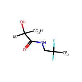 CCC(O)(C(=O)O)C(=O)NCC(F)(F)C(F)(F)F